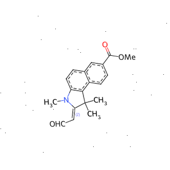 COC(=O)c1ccc2c3c(ccc2c1)N(C)/C(=C\C=O)C3(C)C